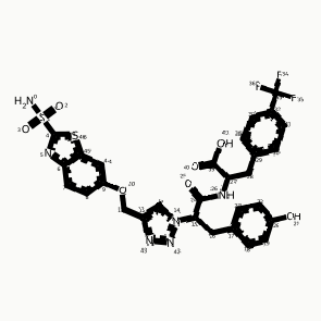 NS(=O)(=O)c1nc2ccc(OCc3cn(C(Cc4ccc(O)cc4)C(=O)NC(Cc4ccc(C(F)(F)F)cc4)C(=O)O)nn3)cc2s1